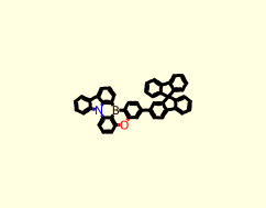 c1ccc2c(c1)-c1ccccc1C21c2ccccc2-c2ccc(-c3ccc4c(c3)Oc3cccc5c3B4c3cccc4c6ccccc6n-5c34)cc21